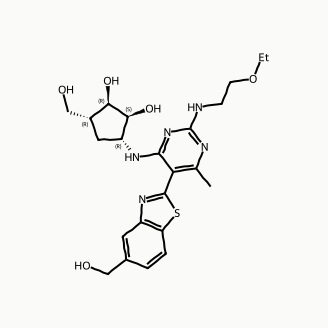 CCOCCNc1nc(C)c(-c2nc3cc(CO)ccc3s2)c(N[C@@H]2C[C@H](CO)[C@@H](O)[C@H]2O)n1